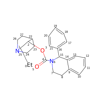 CCC1C(OC(=O)N2CCc3ccccc3C2c2ccccc2)C2CCN1CC2